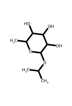 CC(C)OC1OC(C)C(O)C(O)C1O